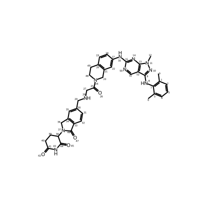 Cc1cccc(C)c1Nc1nn(C)c2nc(Nc3ccc4c(c3)CN(C(=O)CNCc3ccc5c(c3)CN(C3CCC(=O)NC3=O)C5=O)CC4)ncc12